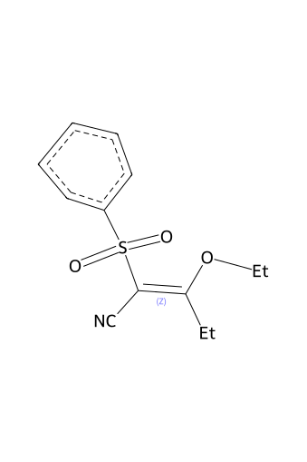 CCO/C(CC)=C(/C#N)S(=O)(=O)c1ccccc1